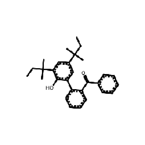 CCC(C)(C)c1cc(-c2ccccc2C(=O)c2ccccc2)c(O)c(C(C)(C)CC)c1